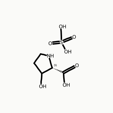 O=C(O)[C@H]1NCCC1O.O=S(=O)(O)O